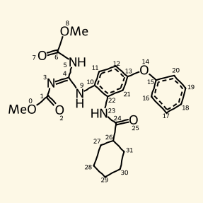 COC(=O)N=C(NC(=O)OC)Nc1ccc(Oc2ccccc2)cc1NC(=O)C1CCCCC1